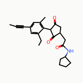 CC#Cc1cc(C)c(C2C(=O)CC(CC(=O)NC3CCCC3)C2=O)c(CC)c1